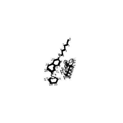 CCCCCCSc1ccc2cc([S+]3CCCC3)ccc2c1.O=S(=O)([O-])C(F)(F)C(F)(F)C(F)(F)C(F)(F)F